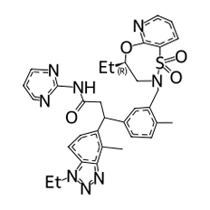 CC[C@@H]1CN(Cc2cc(C(CC(=O)Nc3ncccn3)c3ccc4c(nnn4CC)c3C)ccc2C)S(=O)(=O)c2cccnc2O1